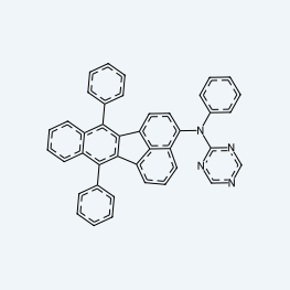 c1ccc(-c2c3c(c(-c4ccccc4)c4ccccc24)-c2ccc(N(c4ccccc4)c4ncncn4)c4cccc-3c24)cc1